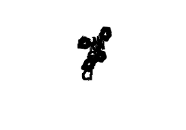 Clc1ccc2oc3c(-c4nc(C5=CC=CCC5)nc(-c5ccccc5)n4)cccc3c2c1